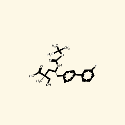 CC(C)(C)OC(=O)N[C@H](Cc1ccc(-c2cccc(F)c2)cc1)C[C@@](C)(CO)C(=O)O